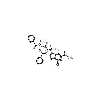 CNc1nc(Cl)c2ncn([C@](C)(F)[C@H](OC(=O)c3ccccc3)[C@@H](COC(=O)c3ccccc3)OC)c2n1